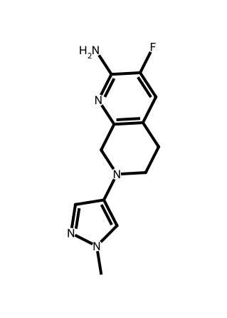 Cn1cc(N2CCc3cc(F)c(N)nc3C2)cn1